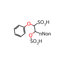 CCCCCCCCCC(OS(=O)(=O)O)C(Oc1ccccc1)S(=O)(=O)O